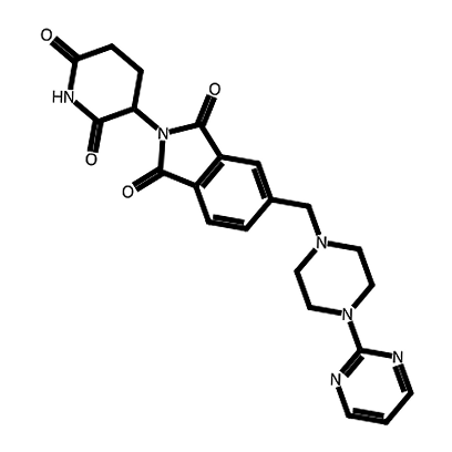 O=C1CCC(N2C(=O)c3ccc(CN4CCN(c5ncccn5)CC4)cc3C2=O)C(=O)N1